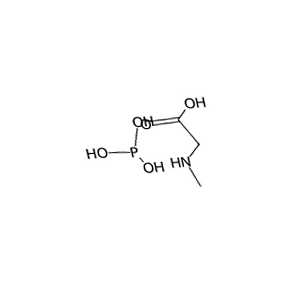 CNCC(=O)O.OP(O)O